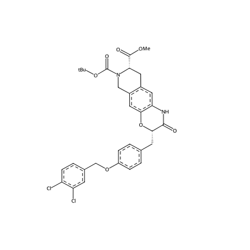 COC(=O)[C@@H]1Cc2cc3c(cc2CN1C(=O)OC(C)(C)C)O[C@@H](Cc1ccc(OCc2ccc(Cl)c(Cl)c2)cc1)C(=O)N3